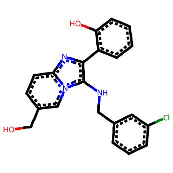 OCc1ccc2nc(-c3ccccc3O)c(NCc3cccc(Cl)c3)n2c1